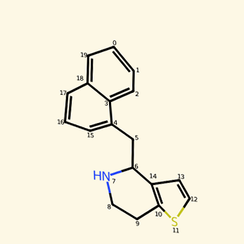 c1ccc2c(CC3NCCc4sccc43)cccc2c1